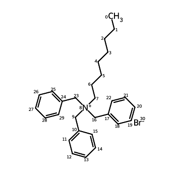 CCCCCCCC[N+](Cc1ccccc1)(Cc1ccccc1)Cc1ccccc1.[Br-]